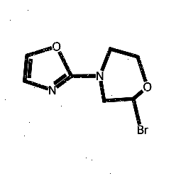 BrC1CN(c2ncco2)CCO1